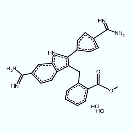 COC(=O)c1ccccc1Cc1c(-c2ccc(C(=N)N)cc2)[nH]c2cc(C(=N)N)ccc12.Cl.Cl